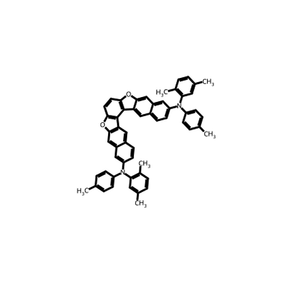 Cc1ccc(N(c2ccc3cc4c(cc3c2)oc2ccc3oc5cc6cc(N(c7ccc(C)cc7)c7cc(C)ccc7C)ccc6cc5c3c24)c2cc(C)ccc2C)cc1